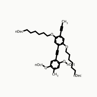 CC#Cc1cc(OCCCCCCCCCCCCCCCC)c(C#Cc2cc(OCCCCCCCC)c(C)cc2OCCCCCCCC)cc1OCCCCCCCCCCCCCCCC